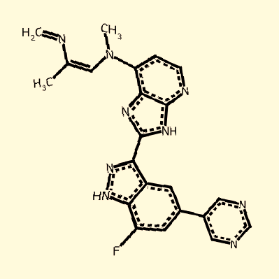 C=N/C(C)=C\N(C)c1ccnc2[nH]c(-c3n[nH]c4c(F)cc(-c5cncnc5)cc34)nc12